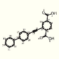 O=C(O)c1ccc(C(=O)O)c(C#Cc2ccc(-c3ccccc3)cc2)c1